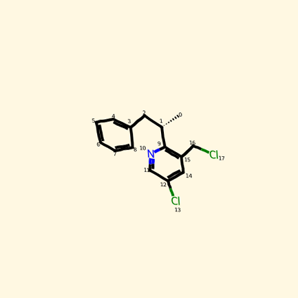 C[C@@H](Cc1ccccc1)c1ncc(Cl)cc1CCl